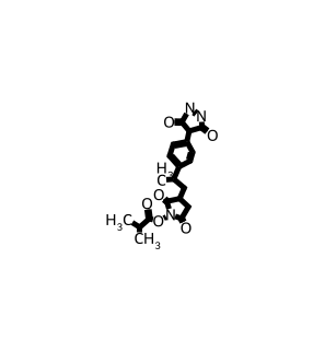 CC(C)C(=O)ON1C(=O)CC(CC(C)c2ccc(C3C(=O)N=NC3=O)cc2)C1=O